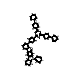 c1ccc(-c2ccc(-c3nc(-c4ccc(-c5ccccc5)cc4)nc(-c4ccc(-c5cccc6c5oc5cc7c(cc56)c5ccccc5n7-c5ccccc5)cc4)n3)cc2)cc1